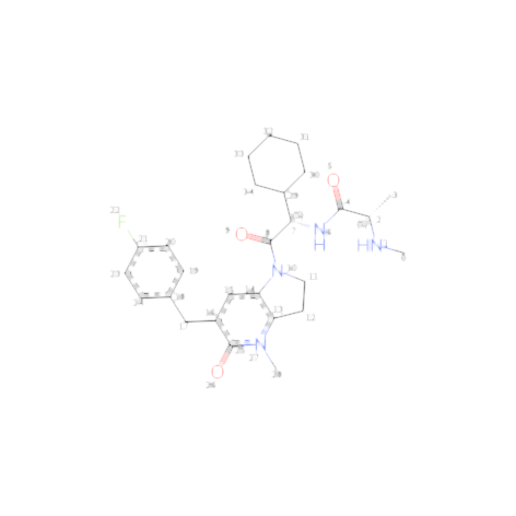 CN[C@@H](C)C(=O)N[C@H](C(=O)N1CCc2c1cc(Cc1ccc(F)cc1)c(=O)n2C)C1CCCCC1